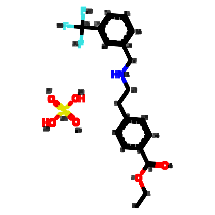 CCOC(=O)c1ccc(CCNCc2cccc(C(F)(F)F)c2)cc1.O=S(=O)(O)O